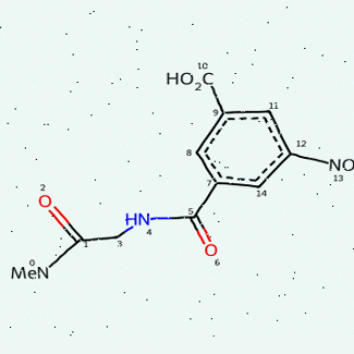 CNC(=O)CNC(=O)c1cc(C(=O)O)cc([N+](=O)[O-])c1